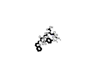 Cc1ccc(S(=O)(=O)N[C@@H](Cc2ccc3ccccc3n2)C(=O)NCC(=O)N[C@H](/C=C(\Cl)S(C)(=O)=O)CC(=O)O)cc1